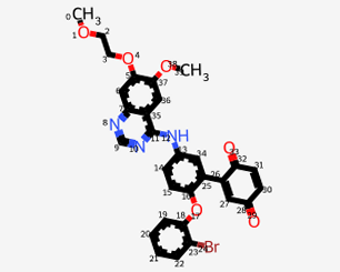 COCCOc1cc2ncnc(Nc3ccc(Oc4ccccc4Br)c(C4=CC(=O)C=CC4=O)c3)c2cc1OC